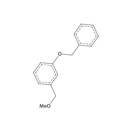 [CH2]OCc1cccc(OCc2ccccc2)c1